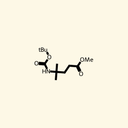 COC(=O)CCC(C)(C)NC(=O)OC(C)(C)C